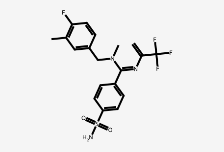 C=C(/N=C(/c1ccc(S(N)(=O)=O)cc1)N(C)Cc1ccc(F)c(C)c1)C(F)(F)F